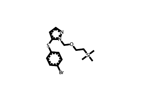 C[Si](C)(C)CCOCn1nccc1Sc1ccc(Br)cc1